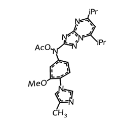 COc1cc(N(OC(C)=O)c2nc3nc(C(C)C)cc(C(C)C)n3n2)ccc1-n1cnc(C)c1